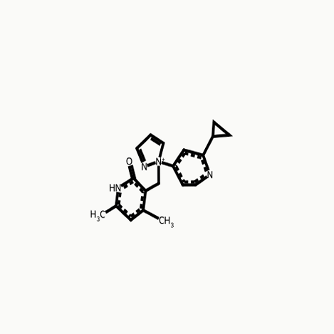 Cc1cc(C)c(C[N+]2(c3ccnc(C4CC4)c3)C=CC=N2)c(=O)[nH]1